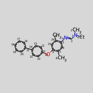 CCN(C)C=Nc1cc(C)c(Oc2ccc(-c3ccccc3)cc2)cc1C